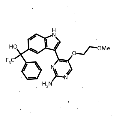 COCCOc1cnc(N)nc1-c1c[nH]c2ccc(C(O)(c3ccccc3)C(F)(F)F)cc12